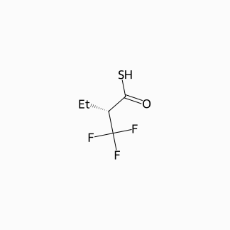 CC[C@H](C(=O)S)C(F)(F)F